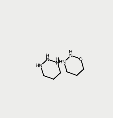 C1CNNNC1.C1CNNOC1